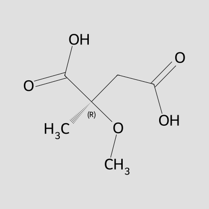 CO[C@](C)(CC(=O)O)C(=O)O